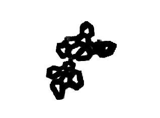 c1ccc(-c2ccc(N(c3ccc4c(c3)-c3ccccc3C43c4ccccc4-c4ccccc43)c3cccc4oc5c6ccccc6c(-c6nc7ccccc7o6)cc5c34)cc2)cc1